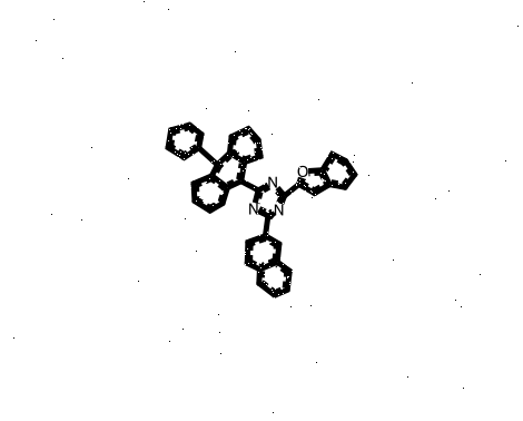 c1ccc(-c2c3ccccc3c(-c3nc(-c4ccc5ccccc5c4)nc(-c4cc5ccccc5o4)n3)c3ccccc23)cc1